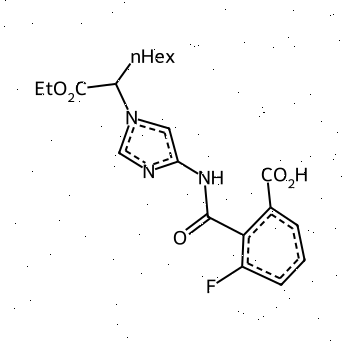 CCCCCCC(C(=O)OCC)n1cnc(NC(=O)c2c(F)cccc2C(=O)O)c1